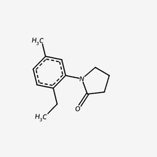 CCc1ccc(C)cc1N1CCCC1=O